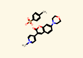 C[n+]1ccc(-c2cc3ccc(N4CCOCC4)cc3oc2=O)cc1.Cc1ccc(S(=O)(=O)[O-])cc1